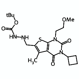 COCCn1c(=O)n(C2CCC2)c(=O)c2c(C)c(CNNC(=O)OC(C)(C)C)sc21